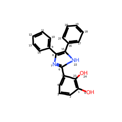 Oc1cccc(-c2nc(-c3ccccc3)c(-c3ccccc3)[nH]2)c1O